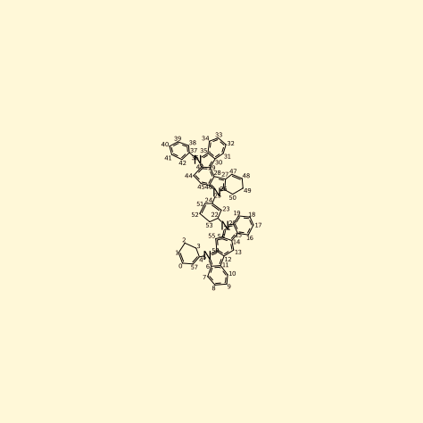 C1=CCCC(n2c3ccccc3c3cc4c5ccccc5n(C5C=C(n6c7c(c8c9c%10ccccc%10n(-c%10ccccc%10)c9ccc86)C=CCC7)C=CC5)c4cc32)=C1